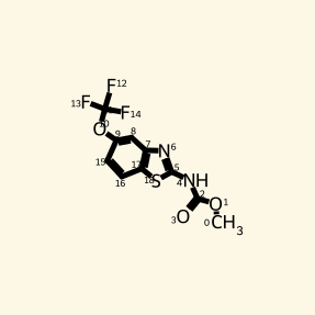 COC(=O)Nc1nc2cc(OC(F)(F)F)ccc2s1